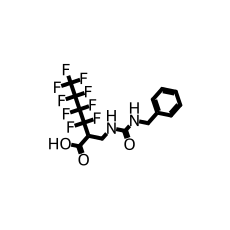 O=C(NCc1ccccc1)NCC(C(=O)O)C(F)(F)C(F)(F)C(F)(F)C(F)(F)F